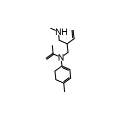 C=CC(CNC)CN(C(=C)C)C1=CC=C(C)CC1